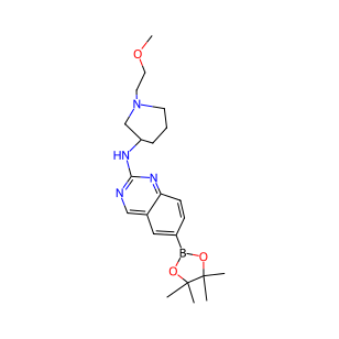 COCCN1CCCC(Nc2ncc3cc(B4OC(C)(C)C(C)(C)O4)ccc3n2)C1